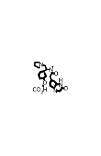 CN(C(=O)Cc1ccc2ncc(=O)[nH]c2c1)C(CN1CCCC1)c1cccc(OCC(=O)O)c1